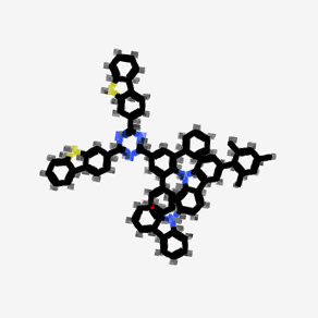 Cc1cc(C)c(-c2ccc3c(c2)c2ccc(-n4c5ccccc5c5ccccc54)cc2n3-c2c(-c3ccccc3)cc(-c3nc(-c4ccc5c(c4)sc4ccccc45)nc(-c4ccc5c(c4)sc4ccccc45)n3)cc2-c2ccccc2)c(C)c1